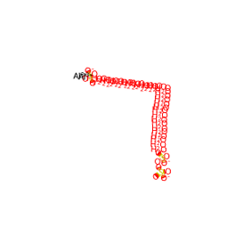 O.O.O.O.O.O.O.O.O.O.O.O.O.O.O.O.O.O.O.O.O.O.O.O.O.O.O.O.O.O.O.O.O=S(=O)([O-])[O-].O=S(=O)([O-])[O-].O=S(=O)([O-])[O-].[Al+3].[Al+3]